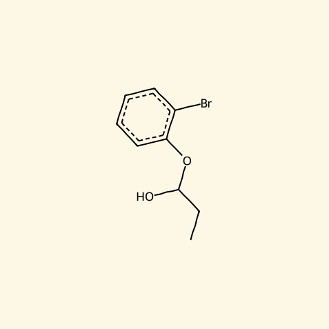 CCC(O)Oc1ccccc1Br